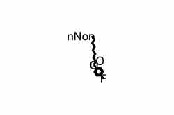 CCCCCCCCCCCCCCCC(=O)Oc1ccc(F)cc1